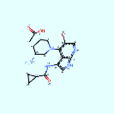 CC(=O)O.N[C@@H]1CCCN(c2c(Br)cnc3[nH]cc(NC(=O)C4CC4)c23)C1